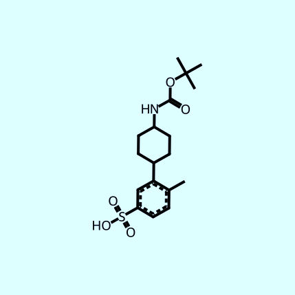 Cc1ccc(S(=O)(=O)O)cc1C1CCC(NC(=O)OC(C)(C)C)CC1